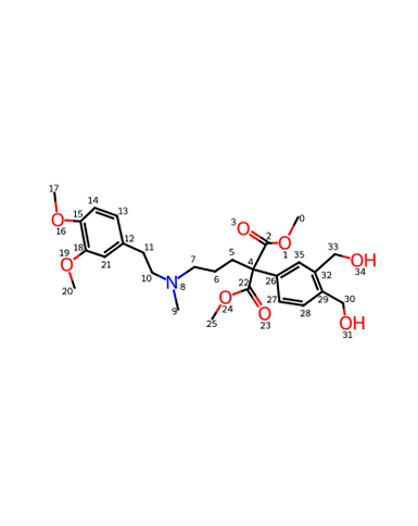 COC(=O)C(CCCN(C)CCc1ccc(OC)c(OC)c1)(C(=O)OC)c1ccc(CO)c(CO)c1